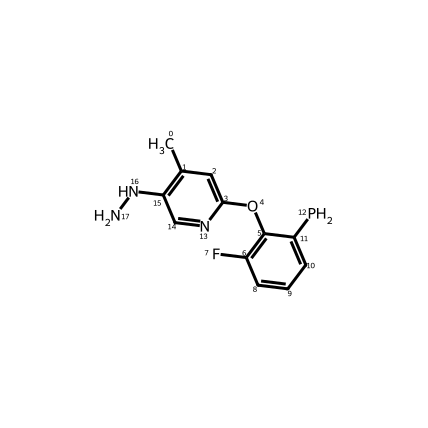 Cc1cc(Oc2c(F)cccc2P)ncc1NN